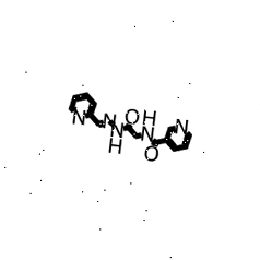 O=C(CNC(=O)c1cccnc1)N/N=C/c1ccccn1